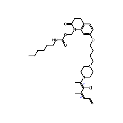 C=C/C=C(C)\C(Cl)=C(/C)N1CCN(CCCCOc2ccc3c(c2)N(COC(=O)NCCCCCC)C(=O)CC3)CC1